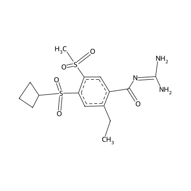 CCc1cc(S(=O)(=O)C2CCC2)c(S(C)(=O)=O)cc1C(=O)N=C(N)N